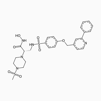 CS(=O)(=O)N1CCN([C@@H](CNS(=O)(=O)c2ccc(OCc3ccnc(-c4ccccc4)c3)cc2)C(=O)NO)CC1